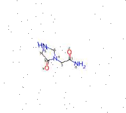 NC(=O)CN1CNCC1=O